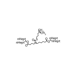 CCCCCCCC(CCCCCCC)OC(=O)CCCCCN(CCCC(=O)OC(CCCCCCC)CCCCCCC)C(=O)SCCCN(C)C